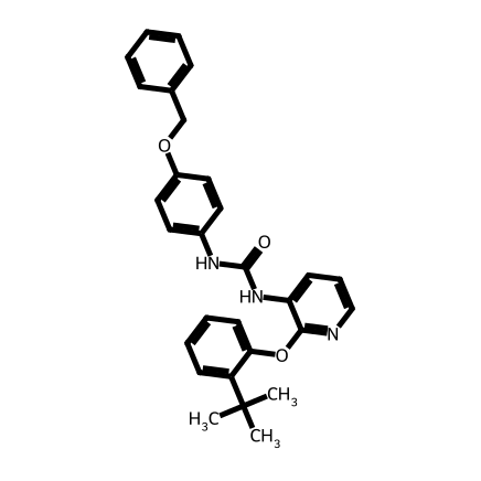 CC(C)(C)c1ccccc1Oc1ncccc1NC(=O)Nc1ccc(OCc2ccccc2)cc1